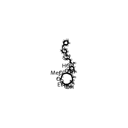 CC[C@H]1OC(=O)[C@H](C)[C@@H](OC)[C@H](C)[C@@H](O[C@@H]2O[C@H](C)C[C@H](N(C)CCc3csc(N4CCN(Cc5ccccc5)CC4)n3)[C@H]2O)[C@](C)(O)C[C@@H](C)CN(C)[C@H](C)[C@@H](O)[C@]1(C)O